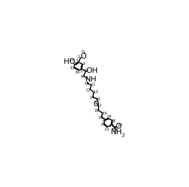 COCc1cc(C(O)CNCCCCCCOCCCCc2ccc(C(N)=O)cc2)ccc1O